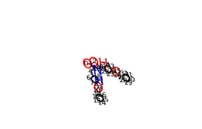 O=C(O)C(Cc1ccc(OCc2ccccc2)cc1)NCc1ccc(OCc2ccccc2)cc1